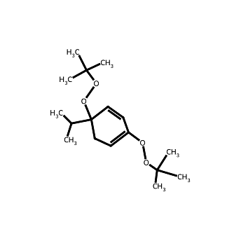 CC(C)C1(OOC(C)(C)C)C=CC(OOC(C)(C)C)=CC1